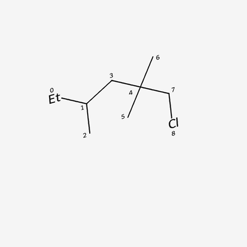 CCC(C)CC(C)(C)CCl